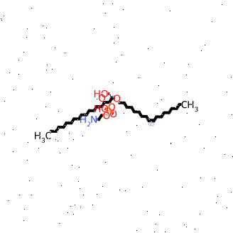 CCCCCCCC/C=C\CCCCCCCCO[C@@H](CO)C(OP(=O)(O)OCCN)C(=O)CCCCCCCCCCCCCCC